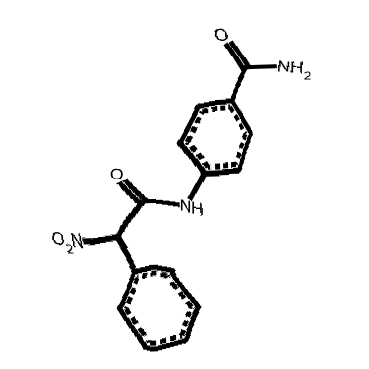 NC(=O)c1ccc(NC(=O)C(c2ccccc2)[N+](=O)[O-])cc1